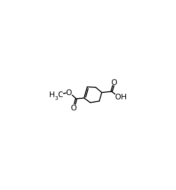 COC(=O)C1=CCC(C(=O)O)CC1